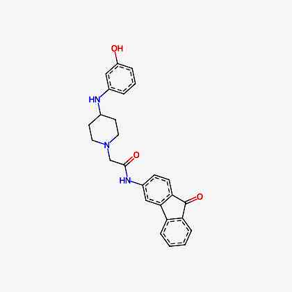 O=C(CN1CCC(Nc2cccc(O)c2)CC1)Nc1ccc2c(c1)-c1ccccc1C2=O